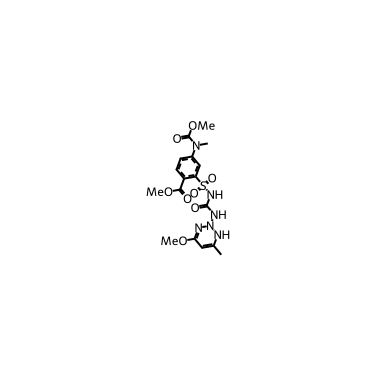 COC(=O)c1ccc(N(C)C(=O)OC)cc1S(=O)(=O)NC(=O)NN1N=C(OC)C=C(C)N1